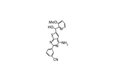 COc1cccnc1C(O)c1cc2c(N)nc(-c3cccc(C#N)c3)nc2s1